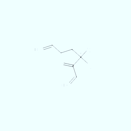 C=CC[CH]C(C)(O)C(=O)C=C